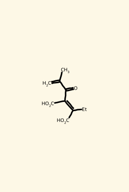 C=C(C)C(=O)/C(C(=O)O)=C(\CC)C(=O)O